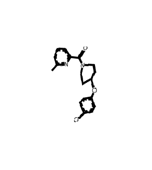 Cc1cccc(C(=O)N2CCC(Oc3ccc(Cl)cc3)CC2)n1